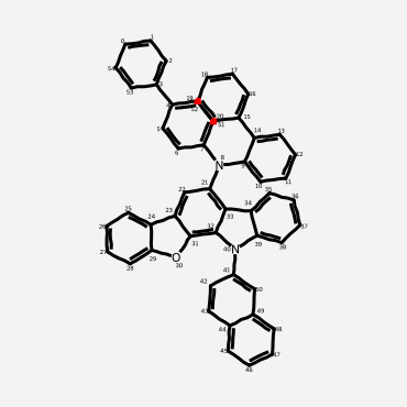 c1ccc(-c2ccc(N(c3ccccc3-c3ccccc3)c3cc4c5ccccc5oc4c4c3c3ccccc3n4-c3ccc4ccccc4c3)cc2)cc1